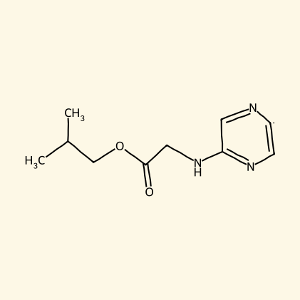 CC(C)COC(=O)CNc1cn[c]cn1